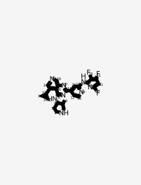 CC1CNCCC1Nc1nc(-c2ccnc(Nc3nc(F)cc(F)c3F)c2)nc2cncc(C3CC3)c12